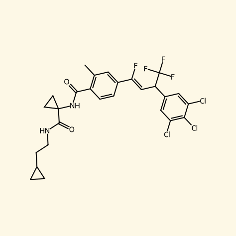 Cc1cc(/C(F)=C/C(c2cc(Cl)c(Cl)c(Cl)c2)C(F)(F)F)ccc1C(=O)NC1(C(=O)NCCC2CC2)CC1